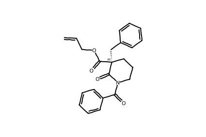 C=CCOC(=O)[C@@]1(Cc2ccccc2)CCCN(C(=O)c2ccccc2)C1=O